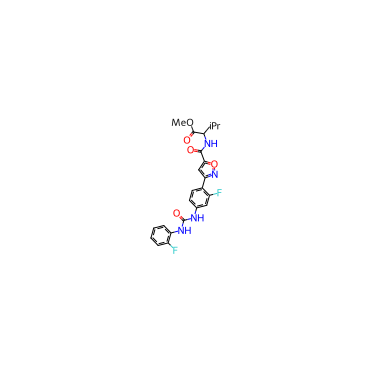 COC(=O)C(NC(=O)c1cc(-c2ccc(NC(=O)Nc3ccccc3F)cc2F)no1)C(C)C